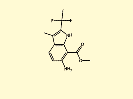 COC(=O)c1c(N)ccc2c(C)c(C(F)(F)F)[nH]c12